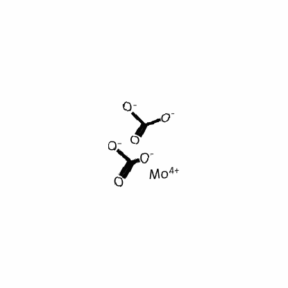 O=C([O-])[O-].O=C([O-])[O-].[Mo+4]